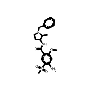 COc1cc(N)c(S(C)(=O)=O)cc1C(=O)NC1CCN(Cc2ccccc2)C1C